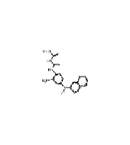 COC(=O)NC(=S)Nc1ccc([S+]([O-])c2ccc3ccccc3c2)cc1N